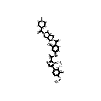 COc1ccc(-c2cnc(C(=O)Nc3ccc(C(=O)N4CC5CN(C(=O)C6CCNCC6)CC5C4)c(Cl)c3)n2C)c(F)c1F